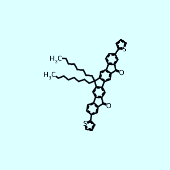 CCCCCCCCC1(CCCCCCCC)c2cc3c(cc2-c2cc4c(cc21)-c1ccc(-c2cccs2)cc1C4=O)C(=O)c1cc(-c2cccs2)ccc1-3